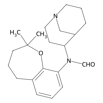 CC1(C)CCCc2cccc(N(C=O)C3CCN4CCCC3C4)c2O1